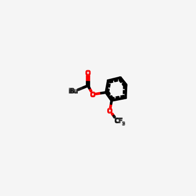 CCC(C)C(=O)Oc1ccccc1OC(F)(F)F